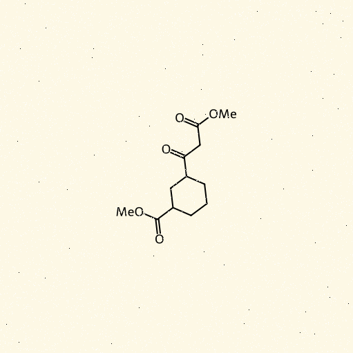 COC(=O)CC(=O)C1CCCC(C(=O)OC)C1